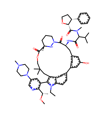 CCn1c(-c2cc(N3CCN(C)CC3)cnc2[C@H](C)OC)c2c3cc(ccc31)-c1cc(O)cc(c1)C[C@H](NC(=O)C(C(C)C)N(C)C(=O)[C@@H]1OCC[C@@H]1c1ccccc1)C(=O)N1CCC[C@H](N1)C(=O)OCC(C)(C)C2